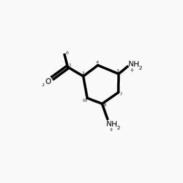 CC(=O)C1CC(N)CC(N)C1